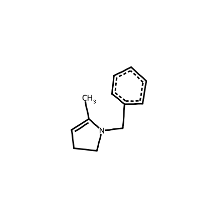 CC1=CCCN1Cc1ccccc1